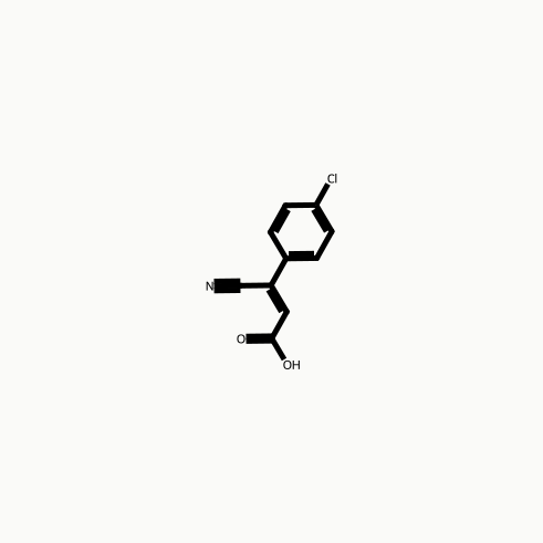 N#C/C(=C\C(=O)O)c1ccc(Cl)cc1